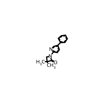 CC1(C)CN(c2ccc(-c3ccccc3)cn2)C1=O